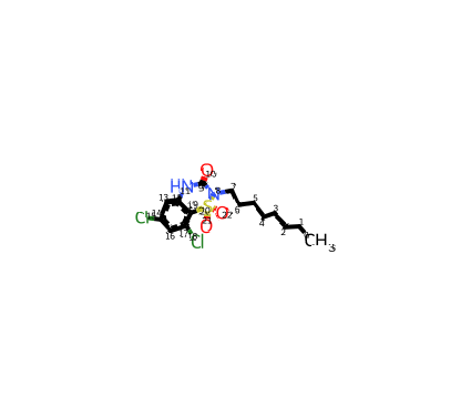 CCCCCCCCN1C(=O)Nc2cc(Cl)cc(Cl)c2S1(=O)=O